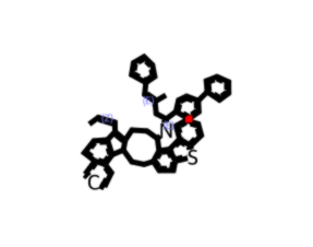 C/C=C\C1=C2CCC(/N=C(\C/C(C)=C/c3ccccc3)c3ccc(-c4ccccc4)cc3)c3c(ccc4sc5ccccc5c34)CCC2c2c1ccc1ccccc21